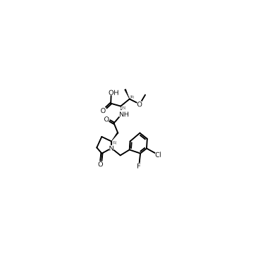 CO[C@H](C)[C@H](NC(=O)C[C@@H]1CCC(=O)N1Cc1cccc(Cl)c1F)C(=O)O